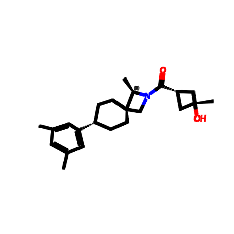 Cc1cc(C)cc([C@H]2CC[C@]3(CC2)CN(C(=O)[C@H]2C[C@@](C)(O)C2)[C@@H]3C)c1